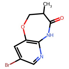 CC1COc2cc(Br)cnc2NC1=O